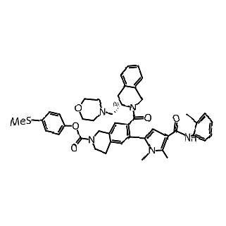 CSc1ccc(OC(=O)N2CCc3cc(-c4cc(C(=O)Nc5ccccc5C)c(C)n4C)c(C(=O)N4Cc5ccccc5C[C@H]4CN4CCOCC4)cc3C2)cc1